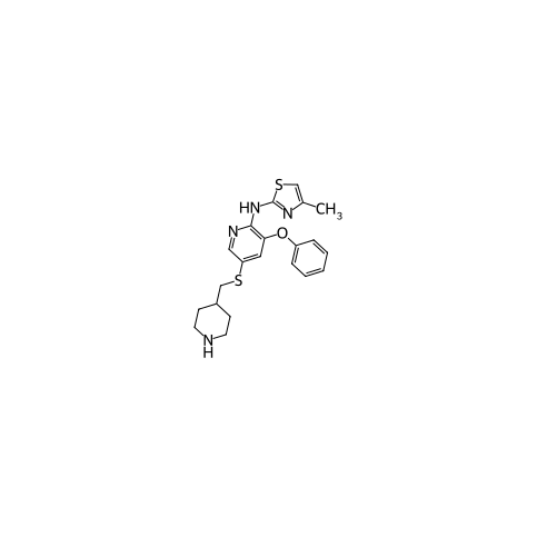 Cc1csc(Nc2ncc(SCC3CCNCC3)cc2Oc2ccccc2)n1